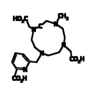 CN1CCN(CC(=O)O)CCN(Cc2cccc(C(=O)O)n2)CCN(CC(=O)O)CC1